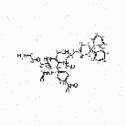 CCC1=C(N(C=O)CCCN2CCC(c3ccccc3)(c3ccccc3)CC2)C(c2ccc([N+](=O)[O-])cc2)C(NC=O)=C(COCCN)N1